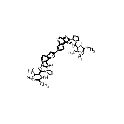 COC(=O)N[C@H](C(=O)N1CCC[C@H]1c1nc2cnc3cc(-c4cc5ccc6nc([C@@H]7CCCN7C(=O)[C@@H](NC(C)=O)C(C)C)[nH]c6c5o4)ccc3c2[nH]1)C(C)C